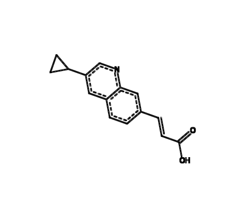 O=C(O)/C=C/c1ccc2cc(C3CC3)cnc2c1